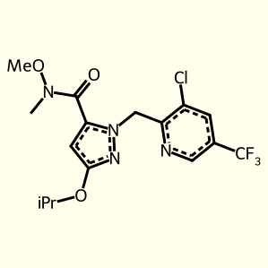 CON(C)C(=O)c1cc(OC(C)C)nn1Cc1ncc(C(F)(F)F)cc1Cl